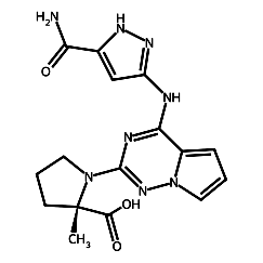 C[C@@]1(C(=O)O)CCCN1c1nc(Nc2cc(C(N)=O)[nH]n2)c2cccn2n1